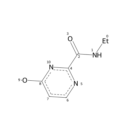 CCNC(=O)c1nccc([O])n1